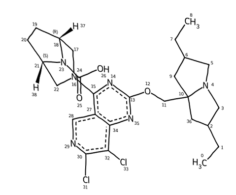 CCC1CN2CC(CC)CC2(COc2nc(N3C[C@H]4CC[C@@H](C3)N4C(=O)O)c3cnc(Cl)c(Cl)c3n2)C1